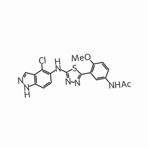 COc1ccc(NC(C)=O)cc1-c1nnc(Nc2ccc3[nH]ncc3c2Cl)s1